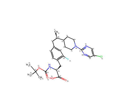 C[C@H](Cc1ccc(C[C@H](NC(=O)OC(C)(C)C)C(=O)O)c(F)c1)C1CCN(c2ncc(Cl)cn2)CC1